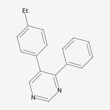 CCc1ccc(-c2cncnc2-c2ccccc2)cc1